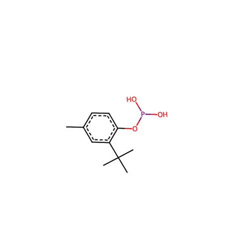 Cc1ccc(OP(O)O)c(C(C)(C)C)c1